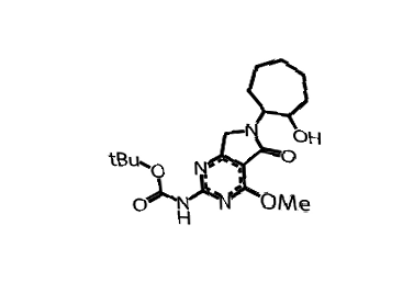 COc1nc(NC(=O)OC(C)(C)C)nc2c1C(=O)N(C1CCCCCC1O)C2